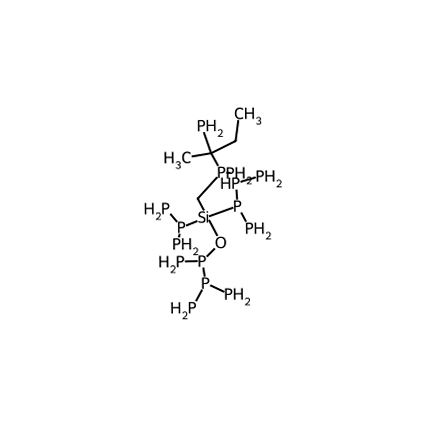 CCC(C)(P)P(P)C[Si](OP(P)P(P)P)(P(P)P)P(P)PP